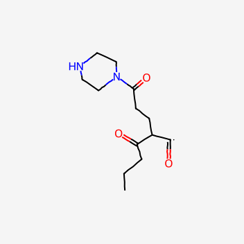 CCCC(=O)C([C]=O)CCC(=O)N1CCNCC1